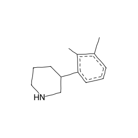 Cc1cccc(C2CCCNC2)c1C